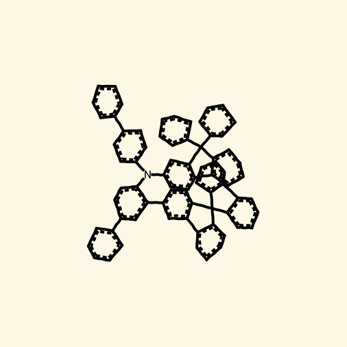 c1ccc(-c2ccc(N(c3ccc4c(c3)C(c3ccccc3)(c3ccccc3)c3ccccc3-4)c3ccc(-c4ccccc4)cc3-c3ccc4c(c3)-c3ccccc3C43c4ccccc4-c4ccccc43)cc2)cc1